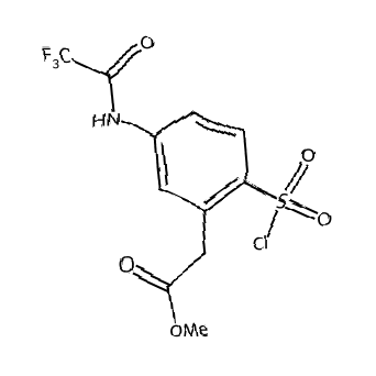 COC(=O)Cc1cc(NC(=O)C(F)(F)F)ccc1S(=O)(=O)Cl